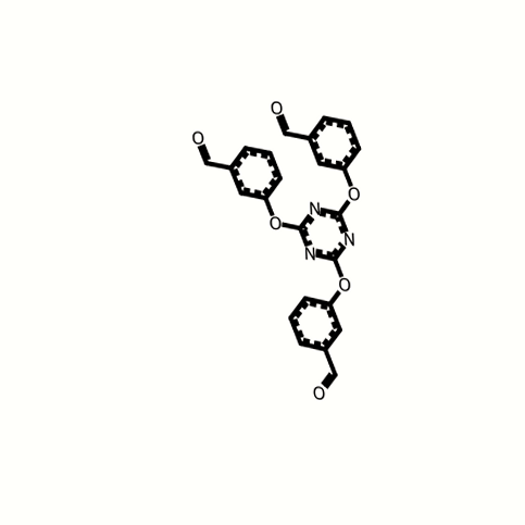 O=Cc1cccc(Oc2nc(Oc3cccc(C=O)c3)nc(Oc3cccc(C=O)c3)n2)c1